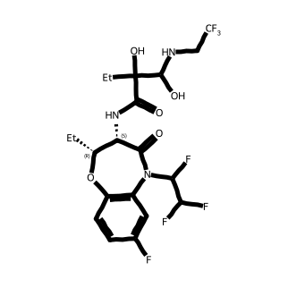 CC[C@H]1Oc2ccc(F)cc2N(C(F)C(F)F)C(=O)[C@H]1NC(=O)C(O)(CC)C(O)NCC(F)(F)F